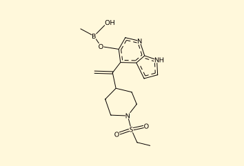 C=C(c1c(OB(C)O)cnc2[nH]ccc12)C1CCN(S(=O)(=O)CC)CC1